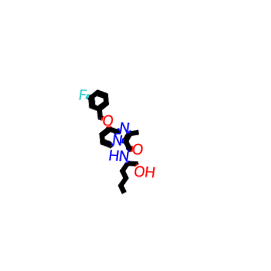 CCCCC(CO)NC(=O)c1c(C)nc2c(OCc3cccc(F)c3)cccn12